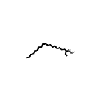 CCCCCCCC/C=C\CCCCCCCC/C(CC)=N/O